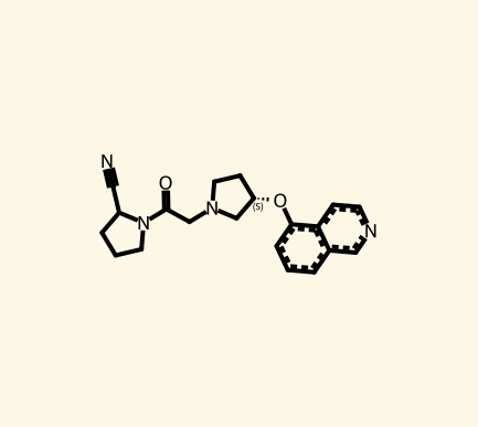 N#CC1CCCN1C(=O)CN1CC[C@H](Oc2cccc3cnccc23)C1